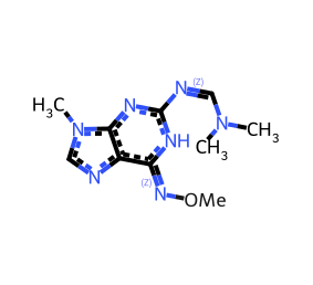 CO/N=c1\[nH]c(/N=C\N(C)C)nc2c1ncn2C